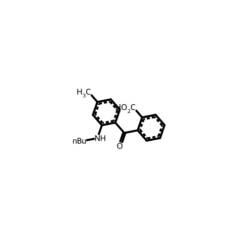 CCCCNc1cc(C)ccc1C(=O)c1ccccc1C(=O)O